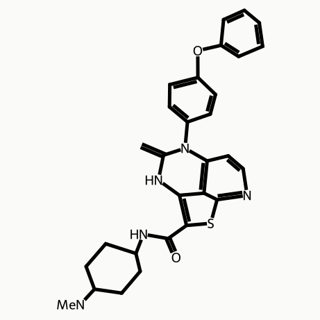 C=c1[nH]c2c(C(=O)NC3CCC(NC)CC3)sc3nccc(c32)n1-c1ccc(Oc2ccccc2)cc1